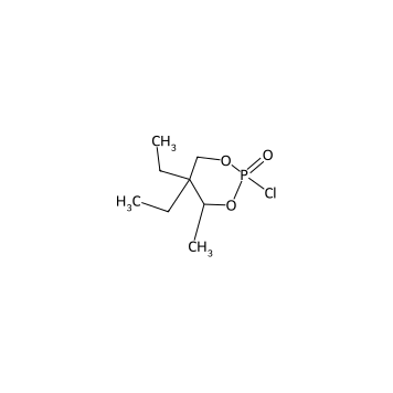 CCC1(CC)COP(=O)(Cl)OC1C